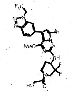 [2H]c1cc(-c2ccc3nnn(CC(F)(F)F)c3c2)c2c(OC)nc(N[C@@H]3CCN(C(=O)CO)CC3(F)F)nn12